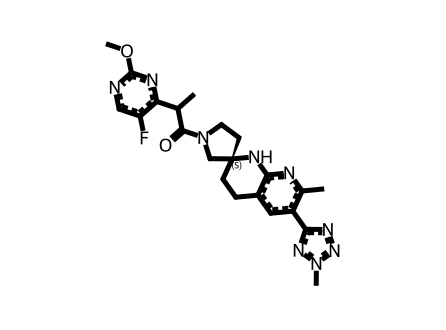 COc1ncc(F)c(C(C)C(=O)N2CC[C@@]3(CCc4cc(-c5nnn(C)n5)c(C)nc4N3)C2)n1